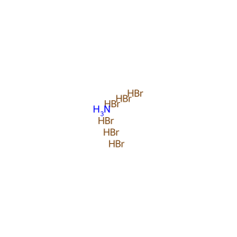 Br.Br.Br.Br.Br.Br.N